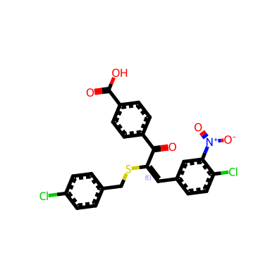 O=C(O)c1ccc(C(=O)/C(=C\c2ccc(Cl)c([N+](=O)[O-])c2)SCc2ccc(Cl)cc2)cc1